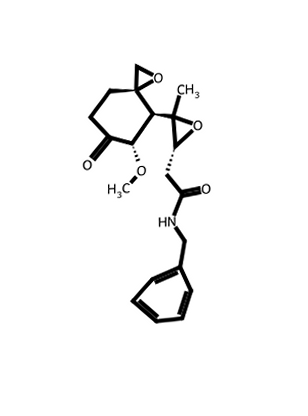 CO[C@@H]1C(=O)CC[C@]2(CO2)[C@H]1C1(C)O[C@@H]1CC(=O)NCc1ccccc1